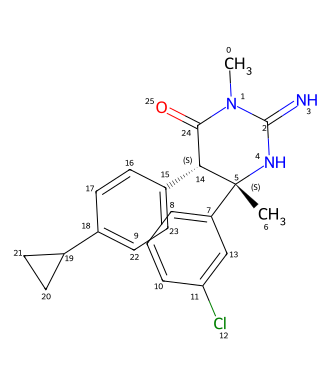 CN1C(=N)N[C@](C)(c2cccc(Cl)c2)[C@H](c2ccc(C3CC3)cc2)C1=O